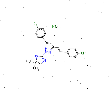 Br.CC1(C)CN=C(NN=C(C=Cc2ccc(Cl)cc2)C=Cc2ccc(Cl)cc2)N1